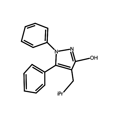 CC(C)Cc1c(O)nn(-c2ccccc2)c1-c1ccccc1